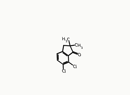 CC1(C)Cc2ccc(Cl)c(Cl)c2C1=O